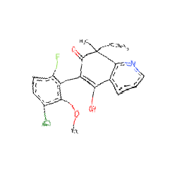 CCOc1c(Cl)ccc(F)c1C1=C(O)c2cccnc2C(C)(C)C1=O